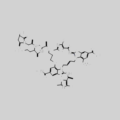 C=C(CN1C(=O)CC(S)C1=O)NC(CCC=O)C(=C)N[C@@H](C)C(=C)OCCCOc1cc(C(N)=O)cc2nc(NC(=C)c3oc(C)nc3CC)n(C/C=C/Cn3/c(=N/C(=O)c4oc(C)nc4CC)sc4cc(C(N)=O)cc(OC)c43)c12